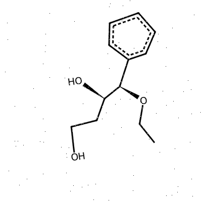 CCO[C@H](c1ccccc1)[C@H](O)CCO